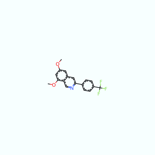 COc1cc(OC)c2cnc(-c3ccc(C(F)(F)F)cc3)cc2c1